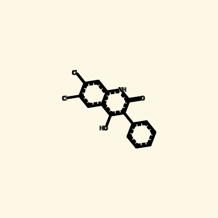 O=c1[nH]c2cc(Cl)c(Cl)cc2c(O)c1-c1ccccc1